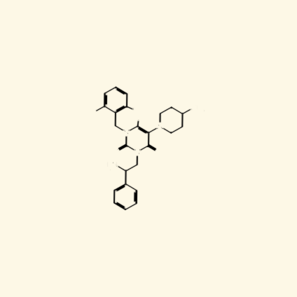 Cc1c(N2CCC(C)CC2)c(=O)n(CC(N)c2ccccc2)c(=O)n1Cc1c(F)cccc1F